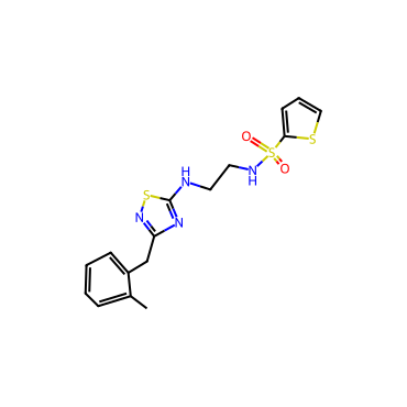 Cc1ccccc1Cc1nsc(NCCNS(=O)(=O)c2cccs2)n1